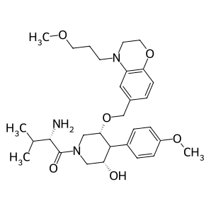 COCCCN1CCOc2ccc(CO[C@H]3CN(C(=O)[C@@H](N)C(C)C)C[C@@H](O)C3c3ccc(OC)cc3)cc21